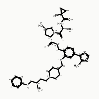 Cc1ncsc1-c1ccc(CNC(=O)[C@@H]2C[C@@H](O)CN2C(=O)[C@@H](NC(=O)C2(F)CC2)C(C)(C)C)c(OCC2CCN(CC[C@@H](N)CSc3ccccc3)CC2)c1